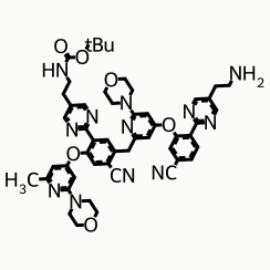 Cc1cc(Oc2cc(C#N)c(Cc3cc(Oc4cc(C#N)ccc4-c4ncc(CCN)cn4)cc(N4CCOCC4)n3)cc2-c2ncc(CCNC(=O)OC(C)(C)C)cn2)cc(N2CCOCC2)n1